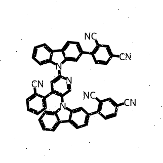 N#Cc1ccc(-c2ccc3c4ccccc4n(-c4cc(-c5ccccc5C#N)c(-n5c6ccccc6c6ccc(-c7ccc(C#N)cc7C#N)cc65)cn4)c3c2)c(C#N)c1